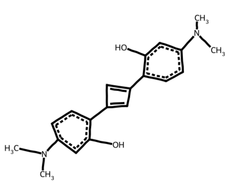 CN(C)c1ccc(C2=CC(c3ccc(N(C)C)cc3O)=C2)c(O)c1